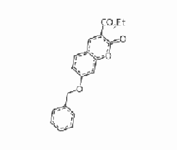 CCOC(=O)c1cc2ccc(OCc3ccccc3)cc2oc1=O